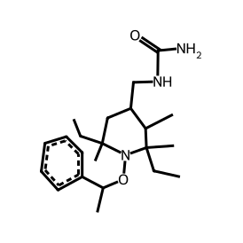 CCC1(C)CC(CNC(N)=O)C(C)C(C)(CC)N1OC(C)c1ccccc1